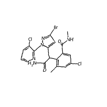 CNC(=O)c1cc(Cl)cc(C)c1C(C(N)=O)c1cc(Br)nn1-c1ncccc1Cl